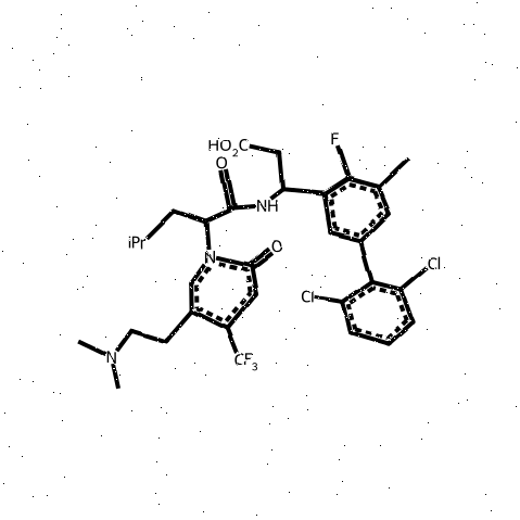 Cc1cc(-c2c(Cl)cccc2Cl)cc(C(CC(=O)O)NC(=O)C(CC(C)C)n2cc(CCN(C)C)c(C(F)(F)F)cc2=O)c1F